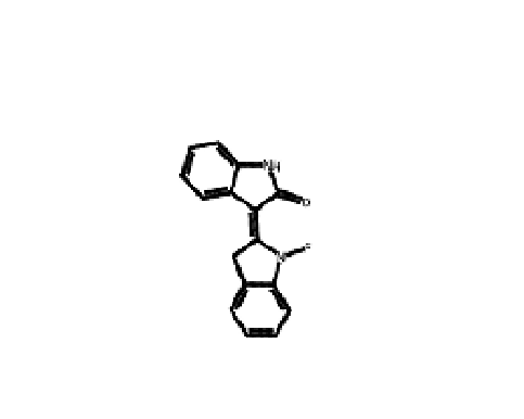 O=C1Nc2ccccc2C1=C1Cc2ccccc2N1F